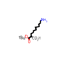 CC(C)(C)OC(=O)C(CCCCCCCCCN)C(=O)O